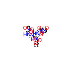 CCOC(C)C(=O)NC(CC(=O)NC(C)NC(=O)C(C)N1C(=O)C=CC1=O)CC(=O)NC(C)NC(=O)C(C)N1C(=O)C=CC1=O